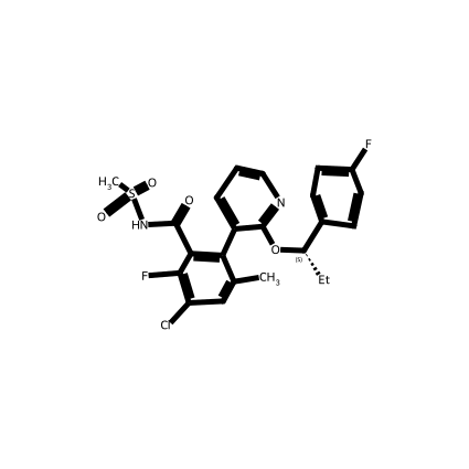 CC[C@H](Oc1ncccc1-c1c(C)cc(Cl)c(F)c1C(=O)NS(C)(=O)=O)c1ccc(F)cc1